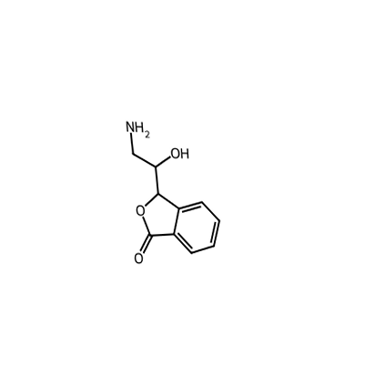 NCC(O)C1OC(=O)c2ccccc21